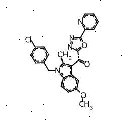 COc1ccc2c(c1)c(C(=O)c1nnc(-c3ccccn3)o1)c(C)n2Cc1ccc(Cl)cc1